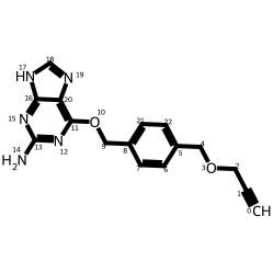 C#CCOCc1ccc(COc2nc(N)nc3[nH]cnc23)cc1